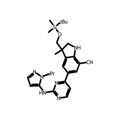 CC(C)n1nccc1Nc1nccc(-c2cc(C#N)c3c(c2)C(C)(CO[Si](C)(C)C(C)(C)C)CN3)n1